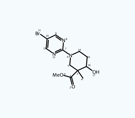 COC(=O)C1(C)CN(c2ncc(Br)cn2)CCC1O